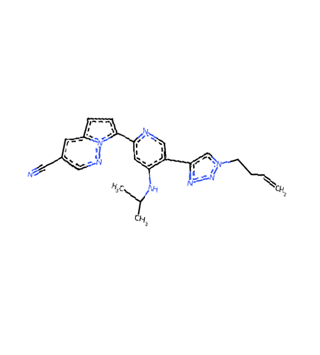 C=CCCn1cc(-c2cnc(-c3ccc4cc(C#N)cnn34)cc2NC(C)C)nn1